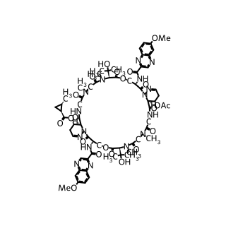 COc1ccc2nc(C(=O)N[C@@H]3COC(=O)[C@H](C(C)(C)O)N(C)C(=O)CN(C)C(=O)CNC(=O)[C@@H]4[C@@H](OC(=O)[C@H]5C[C@@H]5C)CC=NN4C(=O)[C@H](NC(=O)c4cnc5cc(OC)ccc5n4)COC(=O)[C@H](C(C)(C)O)N(C)C(=O)CN(C)C(=O)CNC(=O)[C@@H]4[C@@H](OC(C)=O)CC=NN4C3=O)cnc2c1